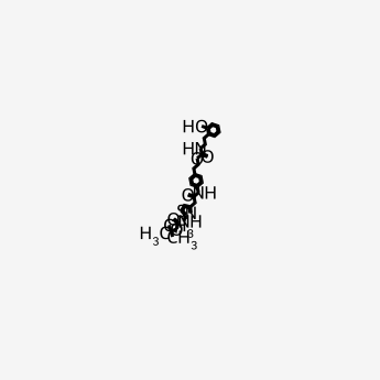 CC(C)(C)OC(=O)Nc1nc(CC(=O)Nc2ccc(CCOC(=O)NCCc3ccccc3O)cc2)cs1